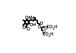 COc1c(C)c2c(c(O)c1C/C=C(\C)CCC(=O)OC(COC(=O)O)COC(=O)O)C(=O)OC2